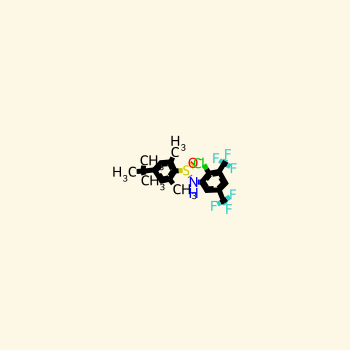 Cc1cc(C(C)(C)C)cc(C)c1[S+]([O-])Nc1cc(C(F)(F)F)cc(C(F)(F)F)c1Cl